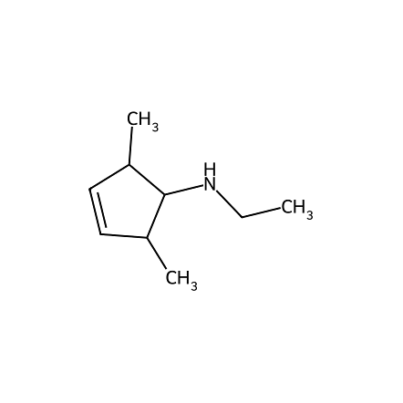 CCNC1C(C)C=CC1C